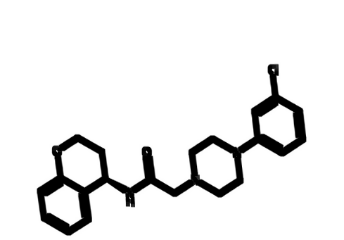 O=C(CN1CCN(c2cccc(Cl)c2)CC1)N[C@@H]1CCOc2ccccc21